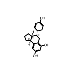 OC1=CCC([C@@H]2Cc3c(O)cc(O)cc3[C@@H]3CCC[C@@H]32)C=C1